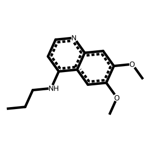 CCCNc1ccnc2cc(OC)c(OC)cc12